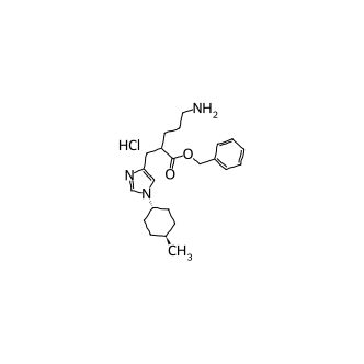 C[C@H]1CC[C@H](n2cnc(CC(CCCN)C(=O)OCc3ccccc3)c2)CC1.Cl